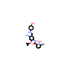 CC(C)c1cccc(C(=O)NC2=C/C(=C/NC3CCC(O)CC3)C(=N)C=C2OC2CC2)[n+]1O